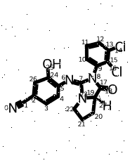 N#Cc1ccc(N=C2N(c3cccc(Cl)c3Cl)C(=O)[C@@H]3CCCN23)c(O)c1